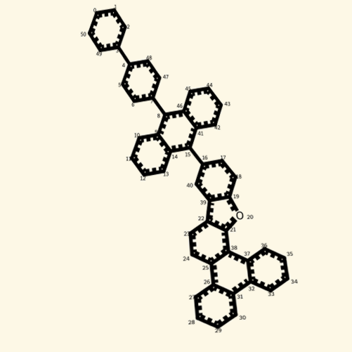 c1ccc(-c2ccc(-c3c4ccccc4c(-c4ccc5oc6c(ccc7c8ccccc8c8ccccc8c76)c5c4)c4ccccc34)cc2)cc1